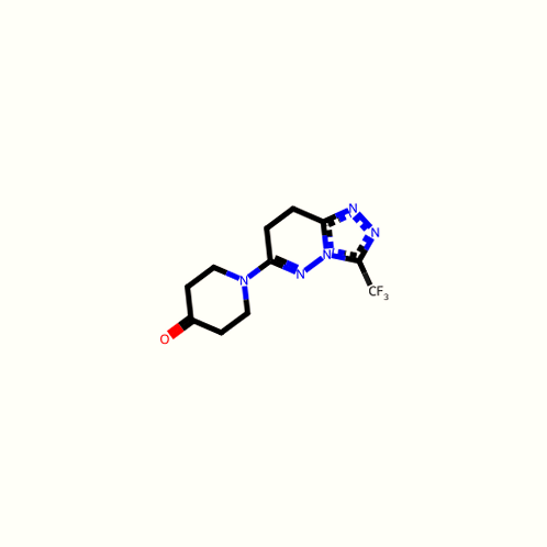 O=C1CCN(C2=Nn3c(nnc3C(F)(F)F)CC2)CC1